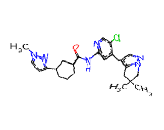 Cn1ccc([C@@H]2CCCC(C(=O)Nc3cc(-c4cnn5c4CC(C)(C)C5)c(Cl)cn3)C2)n1